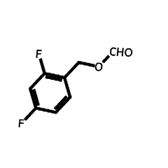 O=COCc1ccc(F)cc1F